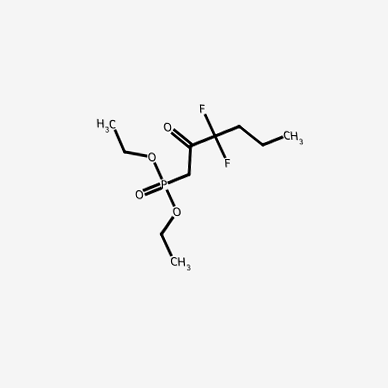 CCCC(F)(F)C(=O)CP(=O)(OCC)OCC